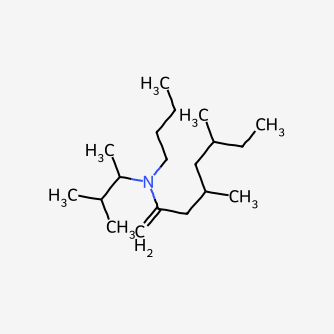 C=C(CC(C)CC(C)CC)N(CCCC)C(C)C(C)C